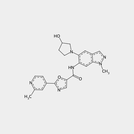 Cc1cc(-c2ncc(C(=O)Nc3cc4c(cnn4C)cc3N3CCC(O)C3)o2)ccn1